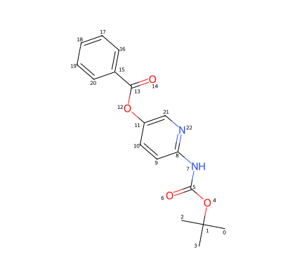 CC(C)(C)OC(=O)Nc1ccc(OC(=O)c2ccccc2)cn1